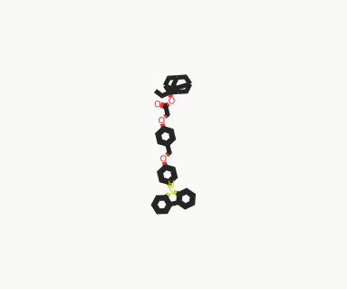 CCC1(OC(=O)COc2ccc(COc3ccc([SH]4c5ccccc5-c5ccccc54)cc3)cc2)C2CC3CC(C2)CC1C3